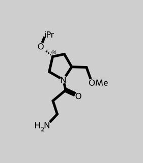 COCC1C[C@@H](OC(C)C)CN1C(=O)CCN